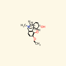 C=COc1ccc2c3c1O[C@H]1[C@@H](O)C=C[C@H]4[C@@H](C2)N(C)CC[C@@]341